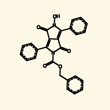 O=C1C2=C(c3ccccc3)N(C(=O)OCc3ccccc3)C(=O)C2=C(c2ccccc2)N1O